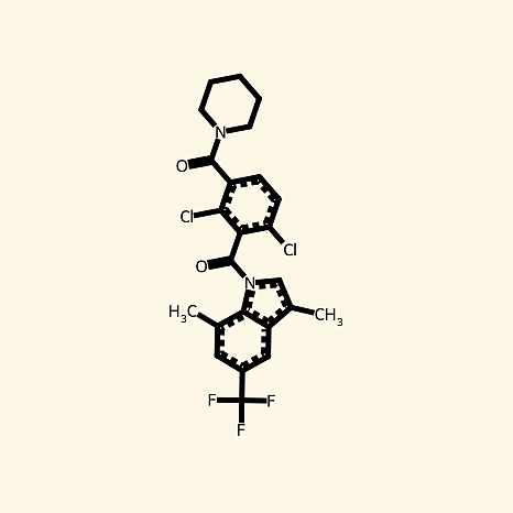 Cc1cn(C(=O)c2c(Cl)ccc(C(=O)N3CCCCC3)c2Cl)c2c(C)cc(C(F)(F)F)cc12